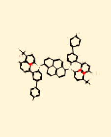 Cc1ccc(-c2ccc(N(C3=C4C=CC5=C6C(=CC=C(C=C3)C46)C(N(c3ccc(C(F)(F)F)cc3)c3ccc(-c4ccc(C)cc4)cc3-c3ccc(C)cc3)C=C5)c3ccc(C(F)(F)F)cc3)c(-c3ccc(C)cc3)c2)cc1